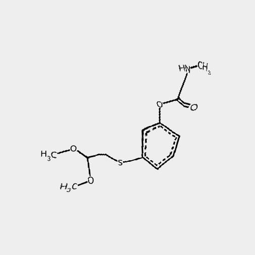 CNC(=O)Oc1cccc(SCC(OC)OC)c1